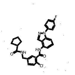 O=C(Nc1cccc2c1cnn2-c1ccc(F)cc1)c1cc(CNC(=O)C2CCCC2)ccc1Cl